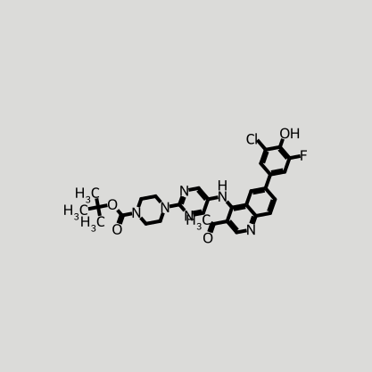 CC(=O)c1cnc2ccc(-c3cc(F)c(O)c(Cl)c3)cc2c1Nc1cnc(N2CCN(C(=O)OC(C)(C)C)CC2)nc1